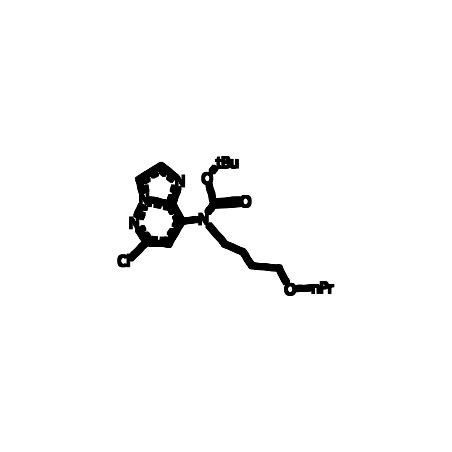 CCCOCCCCN(C(=O)OC(C)(C)C)c1cc(Cl)nn2ccnc12